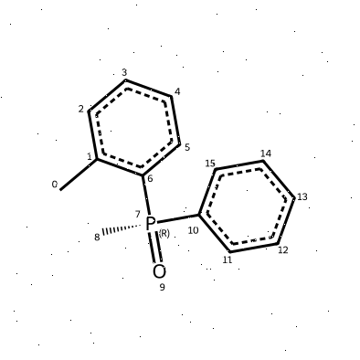 Cc1ccccc1[P@](C)(=O)c1ccccc1